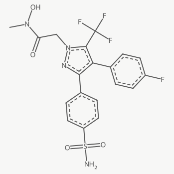 CN(O)C(=O)Cn1nc(-c2ccc(S(N)(=O)=O)cc2)c(-c2ccc(F)cc2)c1C(F)(F)F